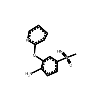 CS(=N)(=O)c1ccc(N)c(Oc2ccccn2)c1